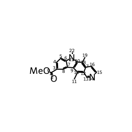 COC(=O)c1ccc2c(c1)c1c(C)c3cnccc3c(C)c1n2C